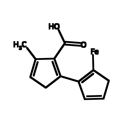 CC1=CCC(C2=[C]([Fe])CC=C2)=C1C(=O)O